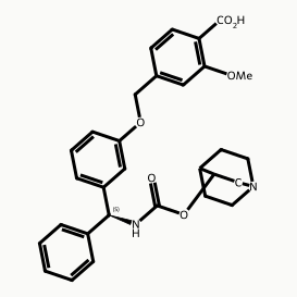 COc1cc(COc2cccc([C@@H](NC(=O)OC3CN4CCC3CC4)c3ccccc3)c2)ccc1C(=O)O